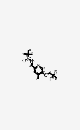 Cc1cc(C=N[S@+]([O-])C(C)(C)C)ncc1OCC(C)(F)F